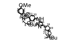 COc1ccc(CN2CCOc3cc(Nc4cc([C@H]5CC[C@@H](O[Si](C)(C)C(C)(C)C)C5)nn4C(C)(C)C)ccc3S2(=O)=O)cc1